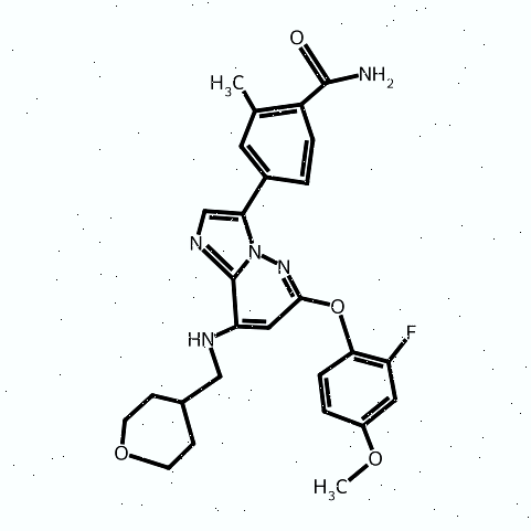 COc1ccc(Oc2cc(NCC3CCOCC3)c3ncc(-c4ccc(C(N)=O)c(C)c4)n3n2)c(F)c1